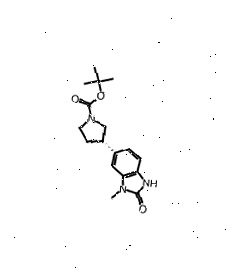 Cn1c(=O)[nH]c2ccc([C@@H]3CCN(C(=O)OC(C)(C)C)C3)cc21